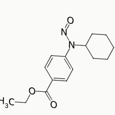 CCOC(=O)c1ccc(N(N=O)C2CCCCC2)cc1